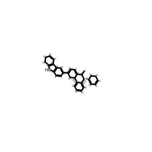 CC1C2=CC=C(c3ccc4[nH]c5c(c4c3)C=CCC5)CC2c2ccccc2[C@H]1C1=CC=CCC1